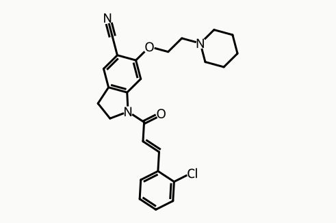 N#Cc1cc2c(cc1OCCN1CCCCC1)N(C(=O)C=Cc1ccccc1Cl)CC2